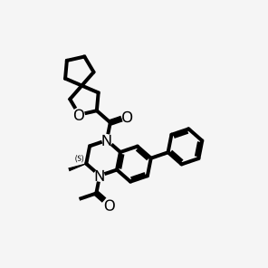 CC(=O)N1c2ccc(-c3ccccc3)cc2N(C(=O)C2CC3(CCCC3)CO2)C[C@@H]1C